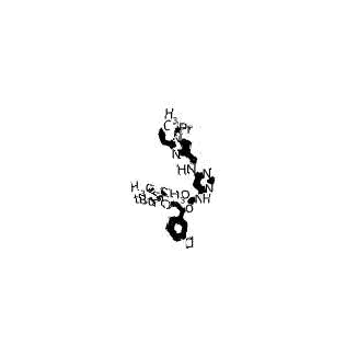 C/C=C\c1nc(CNc2cc(NC(=O)OC(CO[Si](C)(C)C(C)(C)C)c3cccc(Cl)c3)ncn2)cn1C(C)C